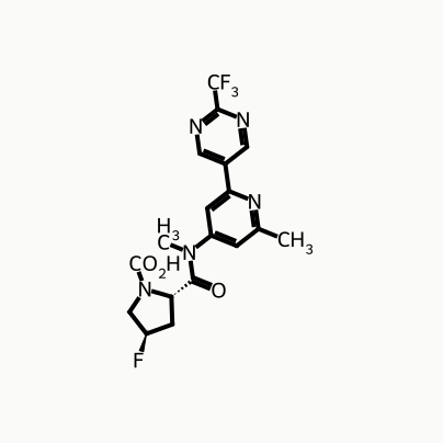 Cc1cc(N(C)C(=O)[C@@H]2C[C@@H](F)CN2C(=O)O)cc(-c2cnc(C(F)(F)F)nc2)n1